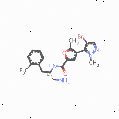 Cc1oc(C(=O)N[C@H](CN)Cc2ccccc2C(F)(F)F)cc1-c1c(Br)cnn1C